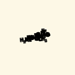 Cc1ccc(-c2ccn3nc(N)nc3c2)c(F)c1C(=O)NCC[C@H](c1ccccc1)C(F)(F)F